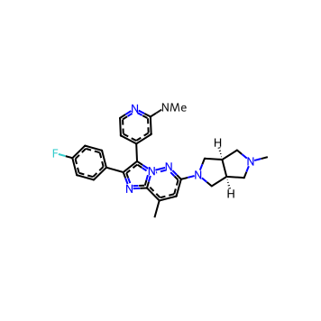 CNc1cc(-c2c(-c3ccc(F)cc3)nc3c(C)cc(N4C[C@H]5CN(C)C[C@H]5C4)nn23)ccn1